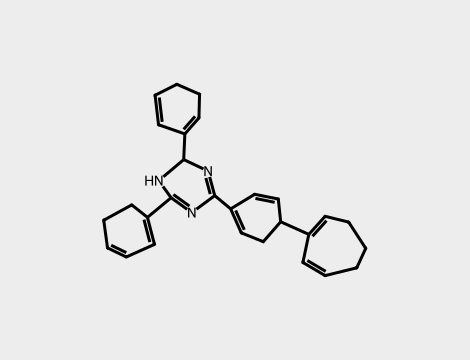 C1=CCCC(C2=NC(C3=CCC(C4=CCCCC=C4)C=C3)=NC(C3=CCCC=C3)N2)=C1